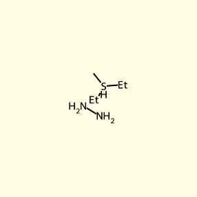 CC[SH](C)CC.NN